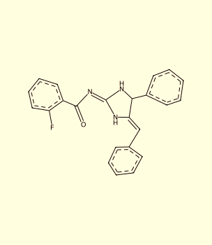 O=C(/N=C1\N/C(=C\c2ccccc2)C(c2ccccc2)N1)c1ccccc1F